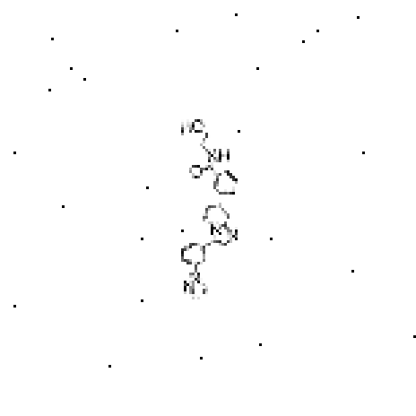 O=C(NCCO)c1cccc(-c2ccn3c(-c4cccc(-n5cccn5)c4)cnc3c2)c1